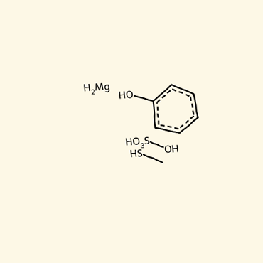 CS.O=S(=O)(O)O.Oc1ccccc1.[MgH2]